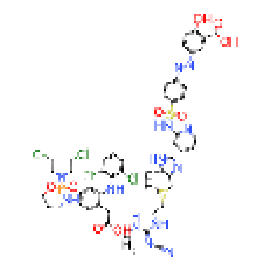 CN/C(=N/C#N)NCCSCc1nc[nH]c1C.O=C(O)Cc1ccccc1Nc1c(Cl)cccc1Cl.O=C(O)c1cc(N=Nc2ccc(S(=O)(=O)Nc3ccccn3)cc2)ccc1O.O=P1(N(CCCl)CCCl)NCCCO1